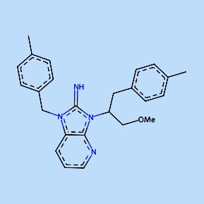 COCC(Cc1ccc(C)cc1)n1c(=N)n(Cc2ccc(C)cc2)c2cccnc21